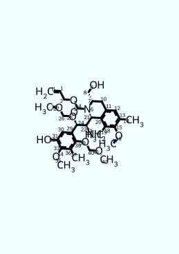 C=CCOC(=O)N1[C@H](CO)Cc2cc(C)c(OC)c(C)c2[C@@H]1[C@@H](N)[C@H](OCOC)c1cc(O)c(OC)c(C)c1OCOC